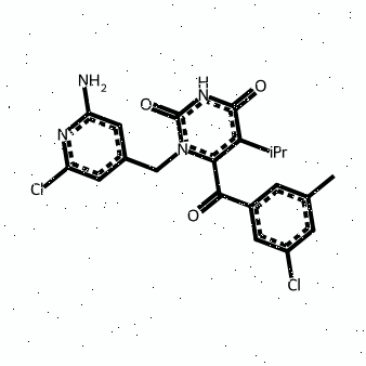 Cc1cc(Cl)cc(C(=O)c2c(C(C)C)c(=O)[nH]c(=O)n2Cc2cc(N)nc(Cl)c2)c1